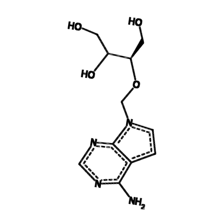 Nc1ncnc2c1ccn2CO[C@H](CO)C(O)CO